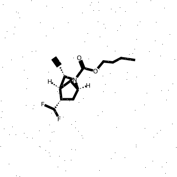 C#C[C@H]1[C@H]2C[C@H](C[C@@H]2C(F)F)N1C(=O)OCCCC